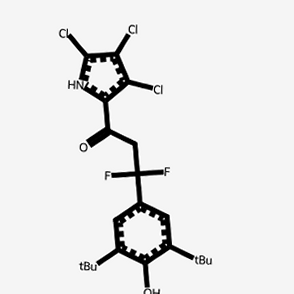 CC(C)(C)c1cc(C(F)(F)CC(=O)c2[nH]c(Cl)c(Cl)c2Cl)cc(C(C)(C)C)c1O